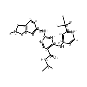 CC(C)NC(=O)c1cnc(Nc2ccc3c(c2)CN(C)C3)nc1Nc1ccnc(C(C)(C)C)c1